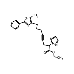 CCOC(=O)C(CC#CCCCc1nc(-c2ccccc2)oc1C)n1nccn1